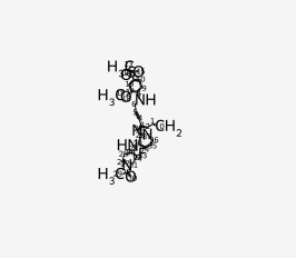 C=Cc1c(C#CCNc2ccc(S(C)(=O)=O)cc2OC)nc2c(N[C@@H]3CCN(C(C)=O)C[C@@H]3F)cccn12